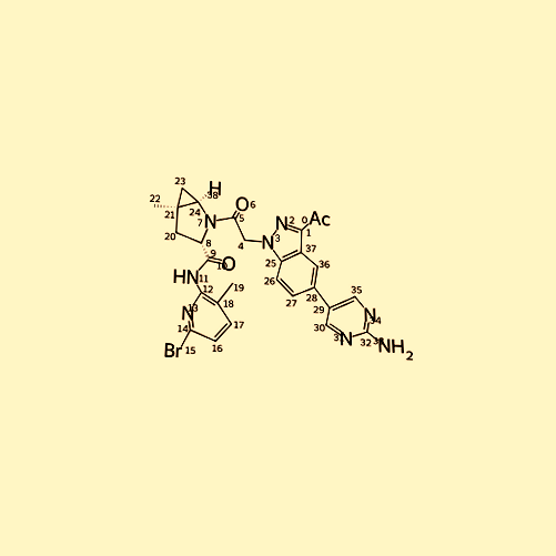 CC(=O)c1nn(CC(=O)N2[C@H](C(=O)Nc3nc(Br)ccc3C)C[C@@]3(C)C[C@@H]23)c2ccc(-c3cnc(N)nc3)cc12